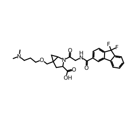 CN(C)CCCOCC12CC(C(=O)O)N(C(=O)CNC(=O)c3ccc4c(c3)-c3ccccc3C4(F)F)C1C2